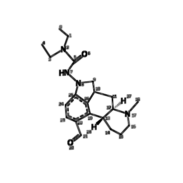 CCN(CC)C(=O)NN1CC2C[C@@H]3[C@H](CCCN3C)c3c(C=O)ccc1c32